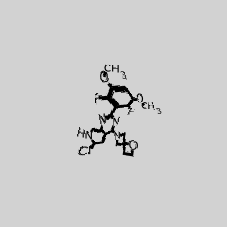 COc1cc(OC)c(F)c(-c2nc(N3CC4(CCO4)C3)c3c(n2)=CNC(Cl)C=3)c1F